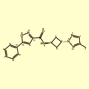 Cc1cnn([C@H]2C[C@H](NC(=O)c3cc(-c4ccccc4)on3)C2)n1